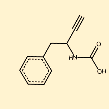 C#CC(Cc1ccccc1)NC(=O)O